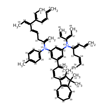 C=C\C=C/C(=C\C)C(/C=CCC(=C)N(c1ccc(C)cc1)c1cc(C(=C)/C=C\C2=C(C)C(C)(C)C3=C2C=CCC=C3)cc(N(/C(C=C)=C/C)/C(=C/C=C)C/C=C\C(C)C)c1)=C/C